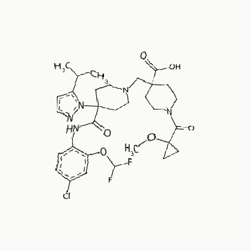 COC1(C(=O)N2CCC(CN3CCC(C(=O)Nc4ccc(Cl)cc4OC(F)F)(n4nccc4C(C)C)CC3)(C(=O)O)CC2)CC1